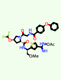 COC[C@@H](NC(=O)[C@@H]1C[C@@H](OC(F)F)CN1C(=O)CNC(=O)c1ccc(Oc2ccccc2)cc1)c1cc(C(=N)NOC(C)=O)cs1